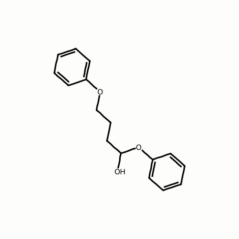 OC(CCCOc1ccccc1)Oc1ccccc1